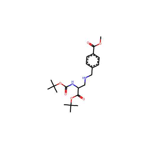 COC(=O)c1ccc(CNCC(NC(=O)OC(C)(C)C)C(=O)OC(C)(C)C)cc1